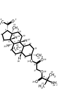 CC(=O)[C@H]1CC[C@H]2[C@@H]3CC[C@H]4C[C@](C)(OC(=O)COC(=O)C(C)(C)N)CC[C@]4(C)[C@H]3CC[C@]12C